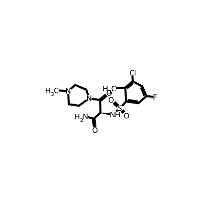 Cc1c(Cl)cc(F)cc1S(=O)(=O)N[C@@H](C(N)=O)C(=O)N1CCN(C)CC1